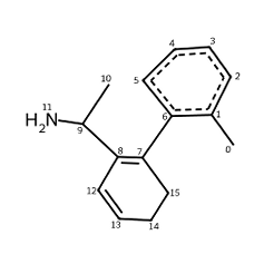 Cc1ccccc1C1=C(C(C)N)C=CCC1